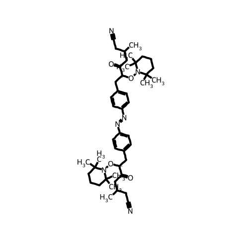 CC(CC#N)CC(=O)[C](Cc1ccc(N=Nc2ccc(C[C](ON3C(C)(C)CCCC3(C)C)C(=O)CC(C)CC#N)cc2)cc1)ON1C(C)(C)CCCC1(C)C